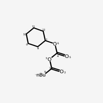 CCC[CH]C(=O)OC(=O)OC1CCCCC1